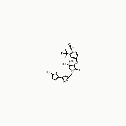 [C-]#[N+]c1ccc(OC2C(=O)N(Cc3nnc(-c4ccc(C)s4)o3)CC2(C)C)cc1C(F)(F)F